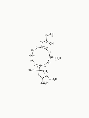 CC(CC(CC(=O)O)C(=O)O)(C(=O)O)N1CCNCCN(CC(O)CO)CCN(C(=O)O)CC1